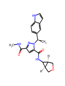 CNC(=O)c1cc(C(=O)NC2[C@H]3COC[C@@H]23)n([C@H](C)c2ccc3[nH]ccc3c2)n1